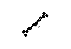 CC1(C)c2cc(/C=C/c3ccc4cc(-c5ccc6c(c5)c5ccccc5n6-c5ccccc5)ccc4c3)ccc2-c2ccc(/C=C/c3ccc4cc(-c5ccc6c(c5)c5ccccc5n6-c5ccccc5)ccc4c3)cc21